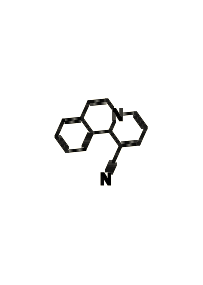 N#CC1=CC=CN2C=Cc3ccccc3C12